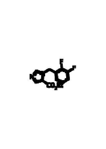 CCOC(=O)c1cncn1Cc1cccc(F)c1F